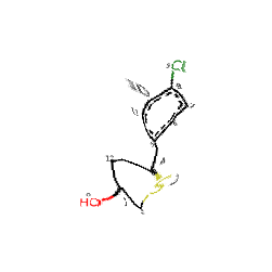 OC1CSC(c2ccc(Cl)cc2)C1